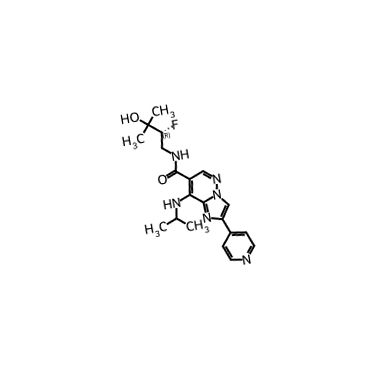 CC(C)Nc1c(C(=O)NC[C@@H](F)C(C)(C)O)cnn2cc(-c3ccncc3)nc12